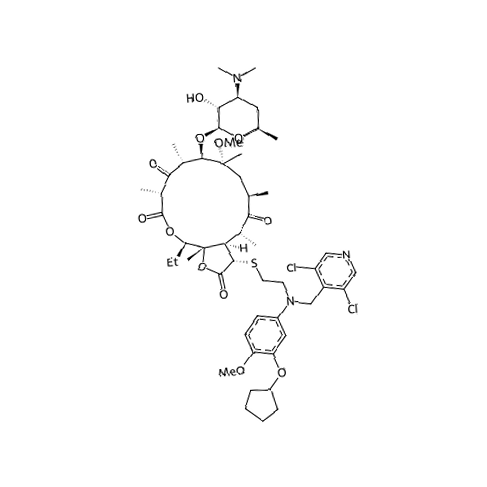 CC[C@H]1OC(=O)[C@H](C)C(=O)[C@H](C)[C@@H](O[C@@H]2O[C@H](C)C[C@H](N(C)C)[C@H]2O)[C@](C)(OC)C[C@@H](C)C(=O)[C@H](C)[C@H]2[C@H](SCCN(Cc3c(Cl)cncc3Cl)c3ccc(OC)c(OC4CCCC4)c3)C(=O)O[C@@]21C